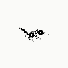 COc1cc(OC)c(C(=O)CCCCCl)cc1NS(=O)(=O)c1ccc(C)cc1